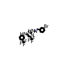 FC(F)(F)c1cccc(Nc2cc(C(F)(F)F)nc(N/N=C/c3cccc(Br)c3)n2)c1